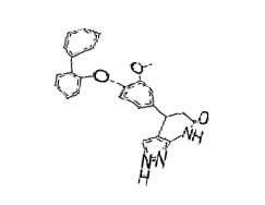 COc1cc(C2CC(=O)Nc3n[nH]cc32)ccc1Oc1ccccc1-c1ccccc1